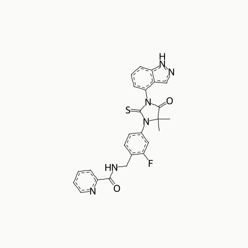 CC1(C)C(=O)N(c2cccc3[nH]ncc23)C(=S)N1c1ccc(CNC(=O)c2ccccn2)c(F)c1